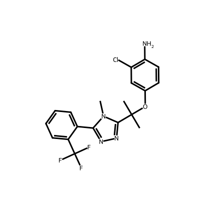 Cn1c(-c2ccccc2C(F)(F)F)nnc1C(C)(C)Oc1ccc(N)c(Cl)c1